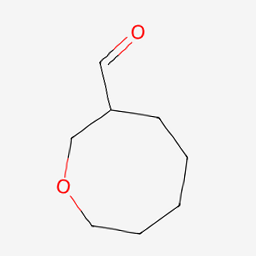 O=CC1CCCCCOC1